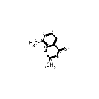 Cc1cc(=S)c2cccc(C)c2o1